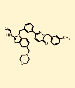 Cc1cccc(Cn2nc(-c3cccc(Cn4c(NC=O)nc5cc(CN6CCOCC6)ccc54)c3)ccc2=O)c1